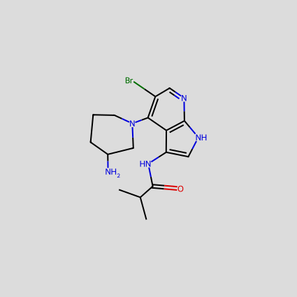 CC(C)C(=O)Nc1c[nH]c2ncc(Br)c(N3CCCC(N)C3)c12